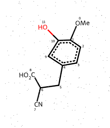 COc1ccc(CC(C#N)C(=O)O)cc1O